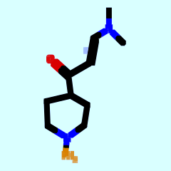 CN(C)/C=C/C(=O)C1CCN(P)CC1